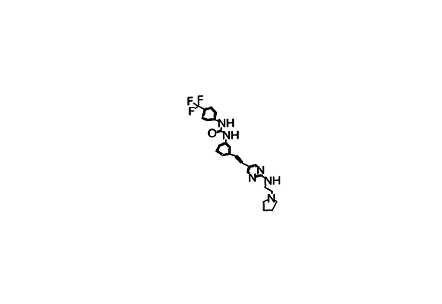 O=C(Nc1ccc(C(F)(F)F)cc1)Nc1cccc(C#Cc2cnc(NCCN3CCCC3)nc2)c1